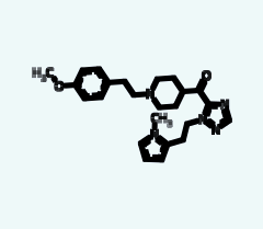 COc1ccc(CCN2CCC(C(=O)c3ncnn3CCc3cccn3C)CC2)cc1